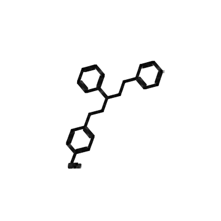 COc1ccc(CCC(CCc2cc[c]cc2)c2ccccc2)cc1